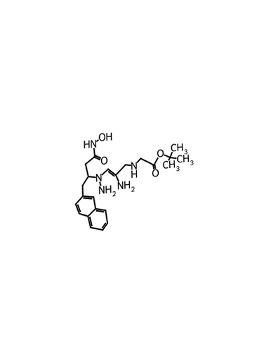 CC(C)(C)OC(=O)CNC/C(N)=C/N(N)C(CC(=O)NO)Cc1ccc2ccccc2c1